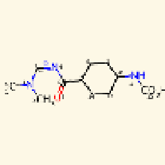 CN(C)/C=N\C(=O)C1CCC(NC(=O)O)CC1